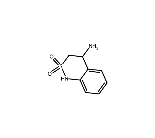 NC1CS(=O)(=O)Nc2ccccc21